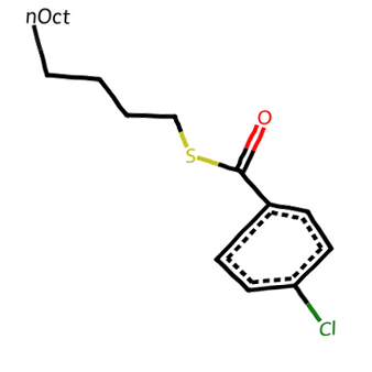 CCCCCCCCCCCCSC(=O)c1ccc(Cl)cc1